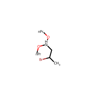 CCCO[SiH](CC(C)Br)OCCC